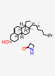 CC(C)CCC[C@@H](C)[C@H]1CC[C@H]2[C@@H]3CC=C4C[C@@H](O)CC[C@]4(C)[C@H]3CC[C@]12C.O=C1CCN1